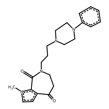 Cn1ccc2c1C(=O)N(CCCN1CCN(c3ccccc3)CC1)CCC2=O